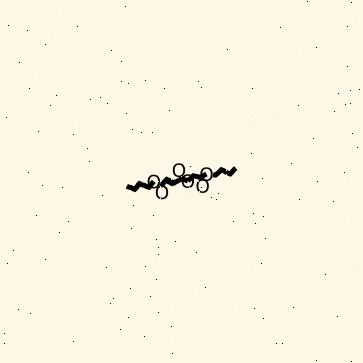 CCCCOC(=O)/C=C/C(=O)OCC(=O)OCCCC